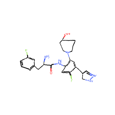 N[C@H](Cc1cccc(F)c1)C(=O)Nc1cc(F)c(C2C=NNC2)cc1N1CCC(O)CC1